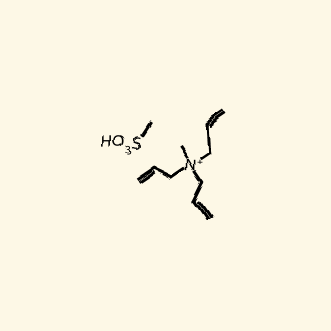 C=CC[N+](C)(CC=C)CC=C.CS(=O)(=O)O